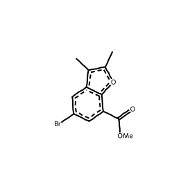 COC(=O)c1cc(Br)cc2c(C)c(C)oc12